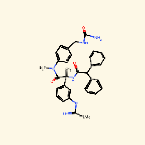 CNC(=N)Nc1cccc(C(C)(NC(=O)C(c2ccccc2)c2ccccc2)C(=O)N(C)c2ccc(CNC(N)=O)cc2)c1